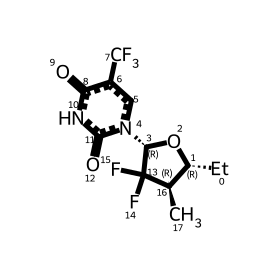 CC[C@H]1O[C@@H](n2cc(C(F)(F)F)c(=O)[nH]c2=O)C(F)(F)[C@@H]1C